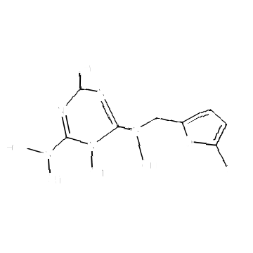 Cc1ccc(CN(C)C2=NC(C)N=C(N(C)C)N2C)o1